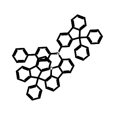 c1ccc(-c2ccc(N(c3ccc4c(c3)C(c3ccccc3)(c3ccccc3)c3ccccc3-4)c3cccc4c3oc3c(C5(c6ccccc6)c6ccccc6-c6ccccc65)cccc34)cc2)cc1